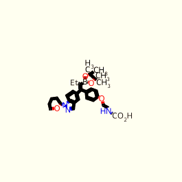 CC/C(B1OC(C)(C)C(C)(C)O1)=C(/c1ccc(OCCNC(=O)O)cc1)c1ccc2c(cnn2C2CCCCO2)c1